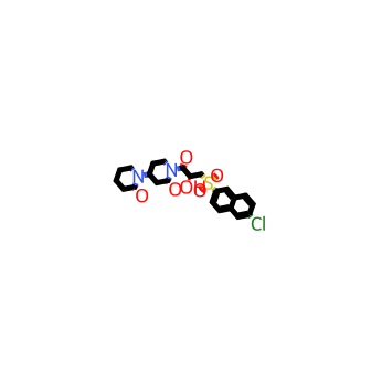 O=C1CC(N2CCCCC2=O)CCN1C(=O)[C@H](O)CS(=O)(=O)c1ccc2cc(Cl)ccc2c1